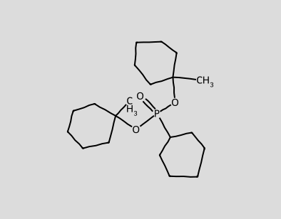 CC1(OP(=O)(OC2(C)CCCCC2)C2CCCCC2)CCCCC1